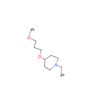 CC(C)CN1CCC(OCCCOC(C)C)CC1